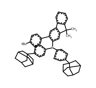 CC(C)(C)c1ccc(-c2cc3c(cc2N(c2ccc(C45CC6CC(CC(C6)C4)C5)cc2)c2ccc(C45CC6CC(CC(C6)C4)C5)cc2)C(C)(C)c2ccccc2-3)cc1